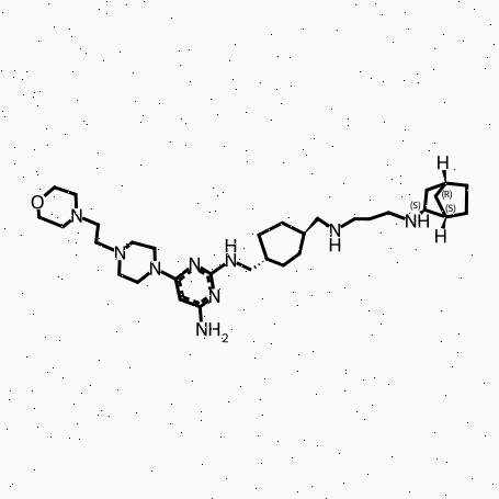 Nc1cc(N2CCN(CCN3CCOCC3)CC2)nc(NC[C@H]2CC[C@H](CNCCCN[C@H]3C[C@@H]4CC[C@H]3C4)CC2)n1